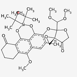 COc1c2c(c3c4c(c(OC5(C(OC)OC)OCC(=O)[C@@]56CO6)c(C)cc14)O[Si](C(C)(C)C)(C(C)(C)C)O3)C(=O)CCC2